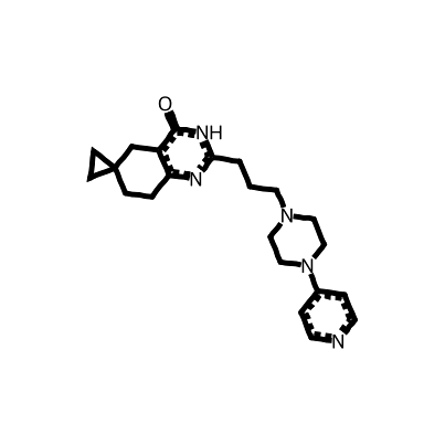 O=c1[nH]c(CCCN2CCN(c3ccncc3)CC2)nc2c1CC1(CC2)CC1